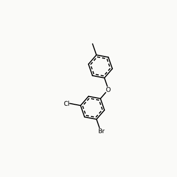 Cc1ccc(Oc2cc(Cl)cc(Br)c2)cc1